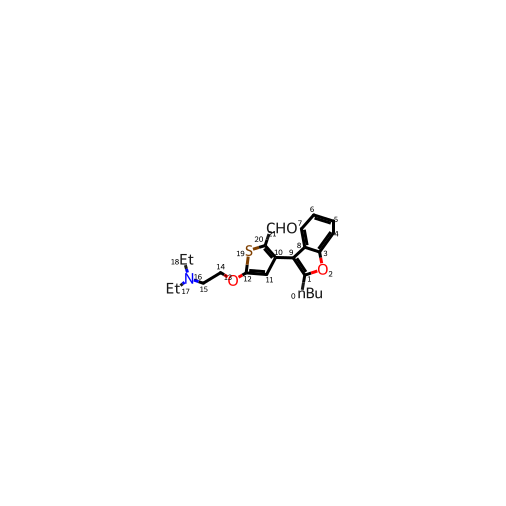 CCCCc1oc2ccccc2c1-c1cc(OCCN(CC)CC)sc1C=O